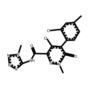 Cc1ccc(-c2c(Cl)c(C(=O)Nc3nnnn3C)nn(C)c2=O)c(Cl)c1